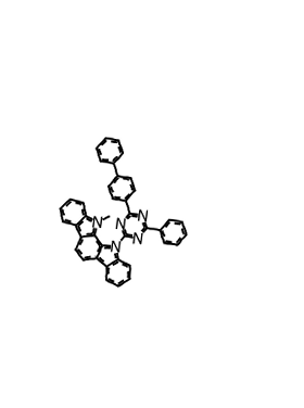 Cn1c2ccccc2c2ccc3c4ccccc4n(-c4nc(-c5ccccc5)nc(-c5ccc(-c6ccccc6)cc5)n4)c3c21